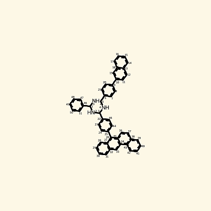 NC(NC(NCc1ccc(-c2ccc3ccccc3c2)cc1)c1ccc(-c2c3ccccc3cc3c2ccc2ccccc23)cc1)c1ccccc1